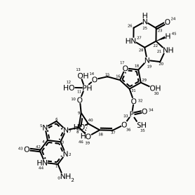 Nc1nc2c(ncn2C2=C3O[PH](O)(O)OCc4oc(N5CN[C@H]6C(=O)NCNC65)c(O)c4OP(=O)(S)O/C=C(/O2)[C@H]3O)c(=O)[nH]1